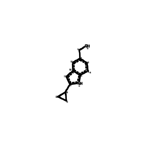 OCc1cnc2[nH]c(C3CC3)cc2c1